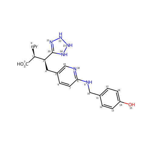 CCC[C@H](C(=O)O)[C@H](Cc1ccc(NCc2ccc(O)cc2)nc1)C1=NNNN1